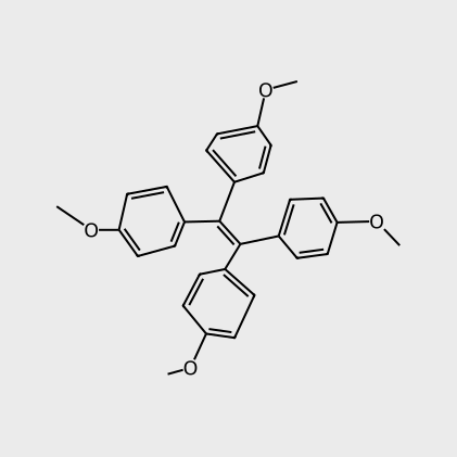 COc1ccc(C(=C(c2ccc(OC)cc2)c2ccc(OC)cc2)c2ccc(OC)cc2)cc1